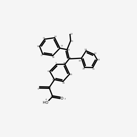 C=C(C(=O)O)c1ccc(C(=C(CC)c2ccccc2)c2ccccc2)cc1